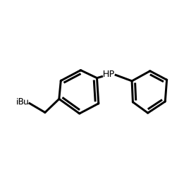 CCC(C)Cc1ccc(Pc2ccccc2)cc1